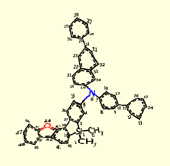 C[Si]1(C)c2cc(N(c3ccc(-c4ccccc4)cc3)c3ccc4cc(-c5ccccc5)ccc4c3)ccc2-c2c1ccc1c2oc2ccccc21